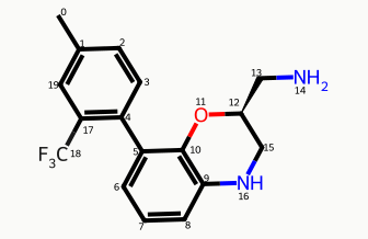 Cc1ccc(-c2cccc3c2O[C@@H](CN)CN3)c(C(F)(F)F)c1